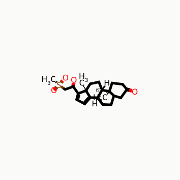 C[C@]12CC[C@H]3[C@@H](CCC4CC(=O)CC[C@@]43C)C1=CC=C2C(=O)CS(C)(=O)=O